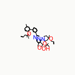 C=CCOC1(C)CCN(c2c(C(OC(C)(C)C)C(=O)O)c(C)cc3nc(-c4cccc(-c5cc(C)ccc5O[C@@H](C)CC=C)c4)cn23)CC1